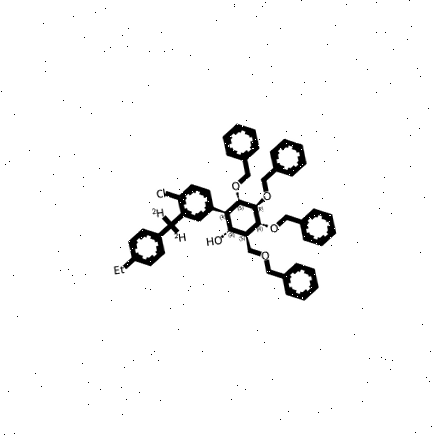 [2H]C([2H])(c1ccc(CC)cc1)c1cc([C@@H]2[C@@H](O)[C@H](COCc3ccccc3)[C@@H](OCc3ccccc3)[C@H](OCc3ccccc3)[C@H]2OCc2ccccc2)ccc1Cl